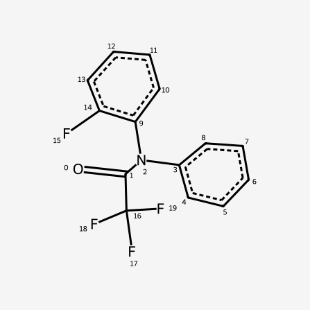 O=C(N(c1ccccc1)c1ccccc1F)C(F)(F)F